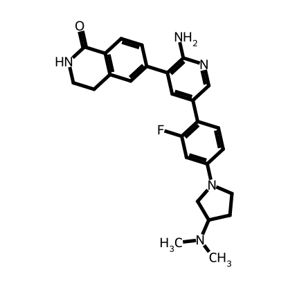 CN(C)C1CCN(c2ccc(-c3cnc(N)c(-c4ccc5c(c4)CCNC5=O)c3)c(F)c2)C1